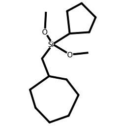 CO[Si](CC1CCCCCC1)(OC)C1CCCC1